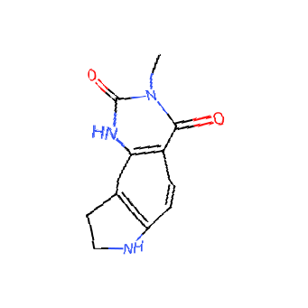 Cn1c(=O)[nH]c2c3c(ccc2c1=O)NCC3